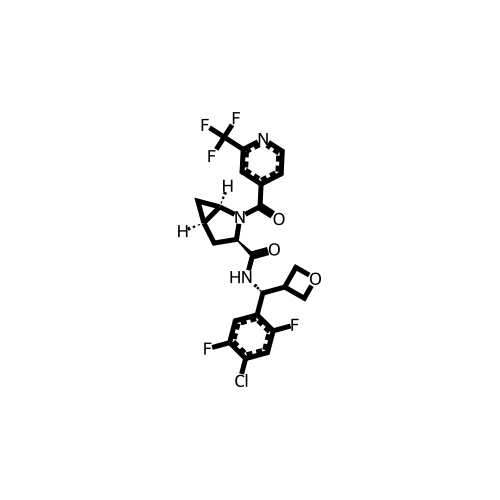 O=C(N[C@@H](c1cc(F)c(Cl)cc1F)C1COC1)[C@H]1C[C@H]2C[C@H]2N1C(=O)c1ccnc(C(F)(F)F)c1